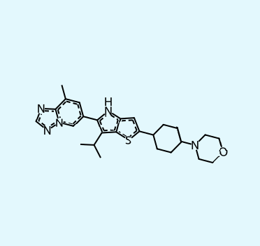 Cc1cc(-c2[nH]c3cc(C4CCC(N5CCOCC5)CC4)sc3c2C(C)C)cn2ncnc12